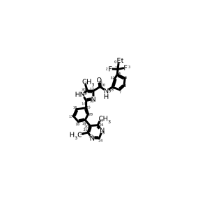 CCC(F)(F)c1cccc(NC(=O)c2nc(-c3cccc(-c4c(C)ncnc4C)c3)[nH]c2C)c1